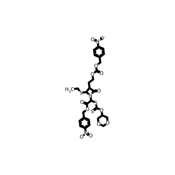 CCSC1C(CCOC(=O)OCc2ccc([N+](=O)[O-])cc2)C(=O)N1C(SC(=S)OC1COCOC1)C(=O)OCc1ccc([N+](=O)[O-])cc1